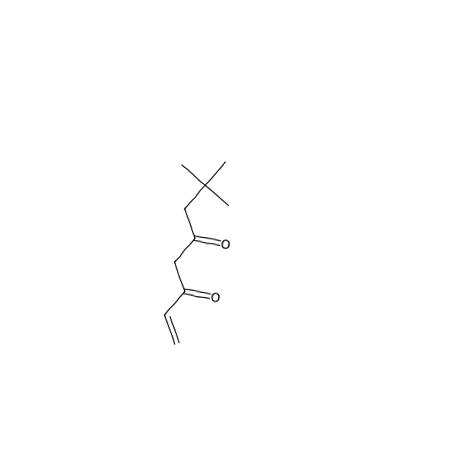 C=CC(=O)CC(=O)CC(C)(C)C